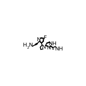 C/C(C=N)=C1\N=C(N2CCCC2c2cc(F)cnc2C#CCN)C=CN1